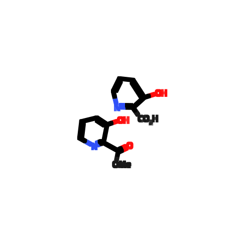 COC(=O)c1ncccc1O.O=C(O)c1ncccc1O